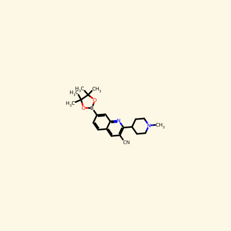 CN1CCC(c2nc3cc(B4OC(C)(C)C(C)(C)O4)ccc3cc2C#N)CC1